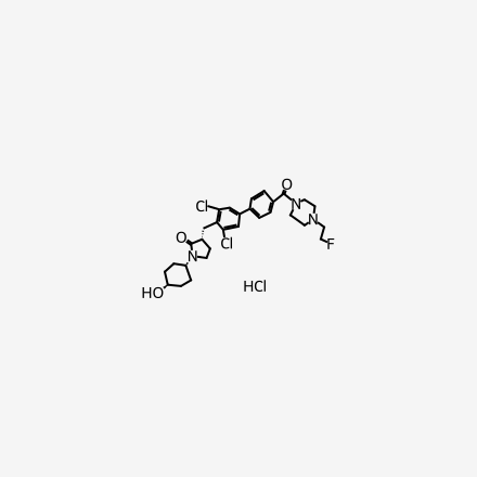 Cl.O=C(c1ccc(-c2cc(Cl)c(C[C@@H]3CCN([C@H]4CC[C@H](O)CC4)C3=O)c(Cl)c2)cc1)N1CCN(CCF)CC1